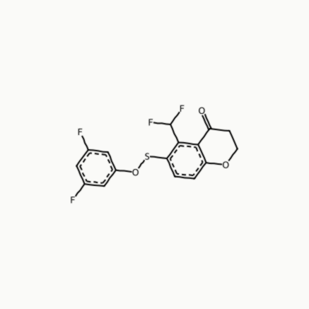 O=C1CCOc2ccc(SOc3cc(F)cc(F)c3)c(C(F)F)c21